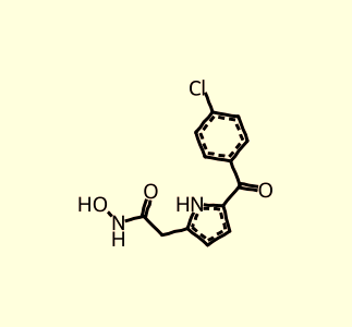 O=C(Cc1ccc(C(=O)c2ccc(Cl)cc2)[nH]1)NO